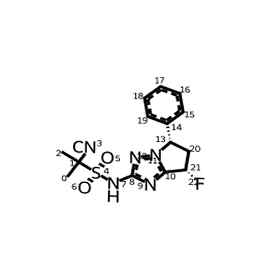 CC(C)(C#N)S(=O)(=O)Nc1nc2n(n1)[C@H](c1ccccc1)C[C@@H]2F